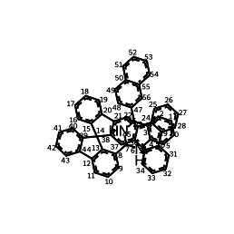 c1ccc2c(c1)NC(c1cccc3c1C1(c4ccccc4-c4cc5c6ccccc6c6ccccc6c5cc41)c1ccccc1-3)NC2c1ccc2ccccc2c1